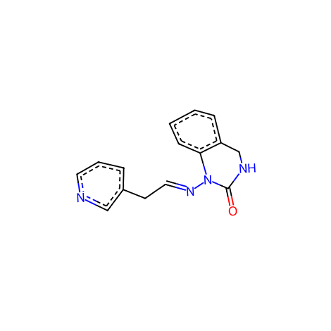 O=C1NCc2ccccc2N1N=CCc1cccnc1